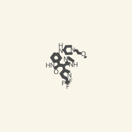 COCCN1CCC(Nc2ccc3c(c2)C(=C(c2ccc(C(F)(F)F)nc2)c2ncc[nH]2)C(=O)N3)CC1